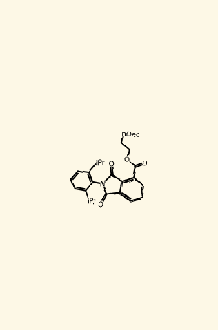 CCCCCCCCCCCCOC(=O)c1cccc2c1C(=O)N(c1c(C(C)C)cccc1C(C)C)C2=O